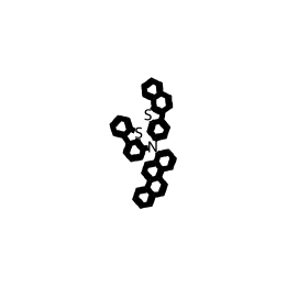 c1ccc2c(c1)ccc1c3cccc(N(c4ccc5c(c4)sc4c6ccccc6ccc54)c4cccc5c4sc4ccccc45)c3ccc21